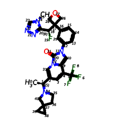 C[C@@H](c1cc(C(F)(F)F)c2cn(-c3cccc(C4([C@@H](F)c5nncn5C)COC4)c3)c(=O)n2c1)N1CCC2(CC2)C1